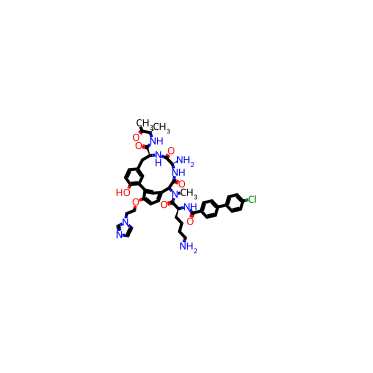 CC(=O)[C@H](C)NC(=O)[C@@H]1Cc2ccc(O)c(c2)-c2cc(ccc2OCCn2ccnc2)C(N(C)C(=O)[C@H](CCCCN)NC(=O)c2ccc(-c3ccc(Cl)cc3)cc2)C(=O)N[C@@H](N)C(=O)N1